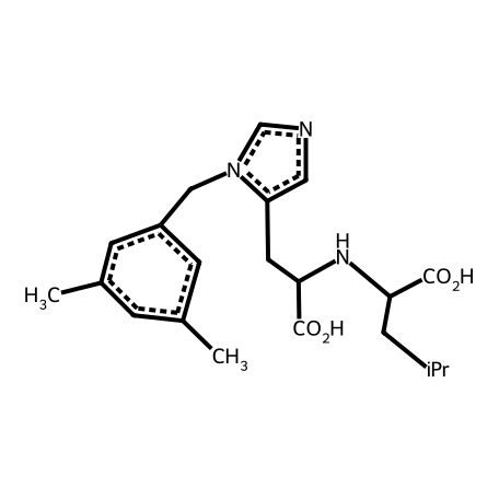 Cc1cc(C)cc(Cn2cncc2CC(NC(CC(C)C)C(=O)O)C(=O)O)c1